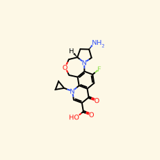 N[C@@H]1C[C@H]2COCc3c(c(F)cc4c(=O)c(C(=O)O)cn(C5CC5)c34)N2C1